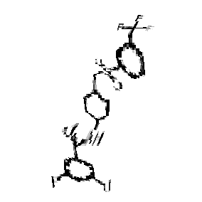 O=C(NC1CCC(CS(=O)(=O)c2cccc(C(F)(F)F)c2)CC1)c1cc(F)cc(Cl)c1